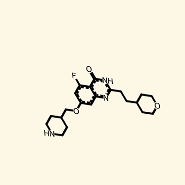 O=c1[nH]c(CCC2CCOCC2)nc2cc(OCC3CCNCC3)cc(F)c12